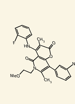 COCCn1c(C)c(-c2cccc(NC(C)=O)c2)c2oc(=O)c(C)c(Nc3ccccc3F)c2c1=O